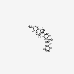 N#Cc1ccc(-c2cnn(-c3ccc(C(=O)NCC4CCOCC4)cn3)c2O)c(Cl)c1